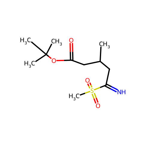 CC(CC(=N)S(C)(=O)=O)CC(=O)OC(C)(C)C